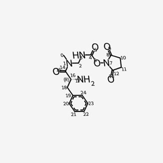 CN(CNC(=O)ON1C(=O)CCC1=O)C(=O)[C@H](N)Cc1ccccc1